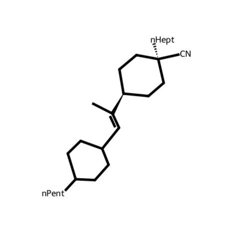 CCCCCCC[C@]1(C#N)CC[C@@H](C(C)=CC2CCC(CCCCC)CC2)CC1